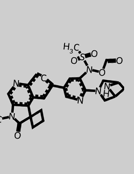 CN1C(=O)C2(CCC2)c2c1cnc1ccc(-c3cnc(N4CC5CC(C4)N5)c(N(OC=O)S(C)(=O)=O)c3)cc21